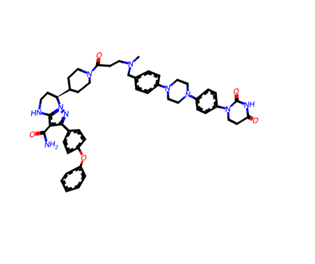 CN(CCC(=O)N1CCC([C@@H]2CCNc3c(C(N)=O)c(-c4ccc(Oc5ccccc5)cc4)nn32)CC1)Cc1ccc(N2CCN(c3ccc(N4CCC(=O)NC4=O)cc3)CC2)cc1